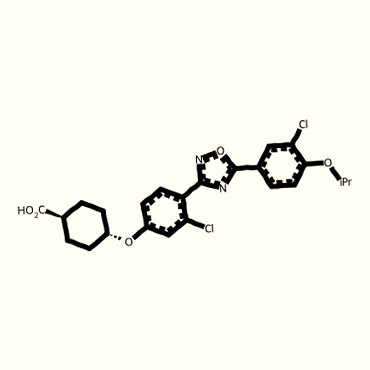 CC(C)Oc1ccc(-c2nc(-c3ccc(O[C@H]4CC[C@H](C(=O)O)CC4)cc3Cl)no2)cc1Cl